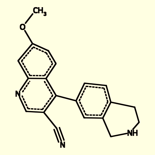 COc1ccc2c(-c3ccc4c(c3)CNCC4)c(C#N)cnc2c1